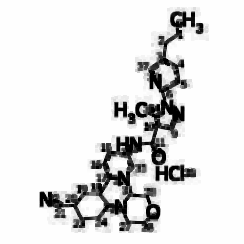 CCCc1ccc(-n2ncc(C(=O)Nc3ccc(C4CC(C#N)CCC4N4CCOCC4)nc3)c2C)nc1.Cl